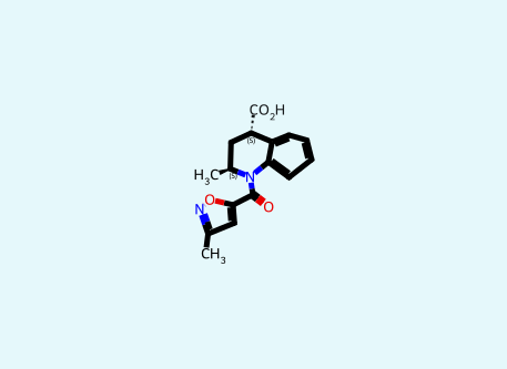 Cc1cc(C(=O)N2c3ccccc3[C@@H](C(=O)O)C[C@@H]2C)on1